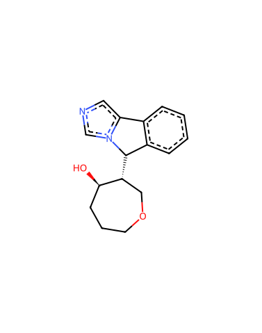 O[C@@H]1CCCOC[C@H]1C1c2ccccc2-c2cncn21